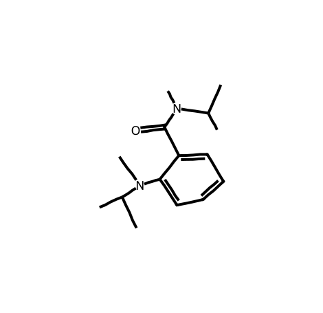 CC(C)N(C)C(=O)c1ccccc1N(C)C(C)C